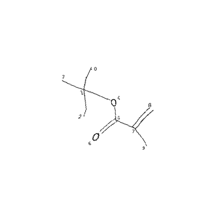 [CH2]C(C)(C)OC(=O)C(=C)C